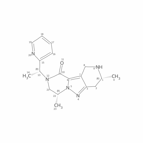 C[C@@H]1Cc2nn3c(c2CN1)C(=O)N([C@H](C)c1ccccn1)C[C@H]3C